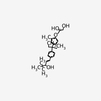 CCC(CC)(c1ccc(C=CC(O)C(C)(C)C)cc1)c1ccc(OC[C@@H](O)CO)c(C)c1